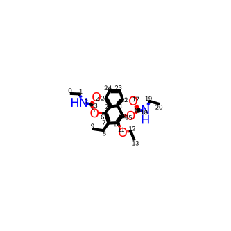 CCNC(=O)Oc1c(CC)c(OCC)c(OC(=O)NCC)c2ccccc12